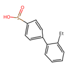 CCc1ccccc1-c1ccc(S(=O)O)cc1